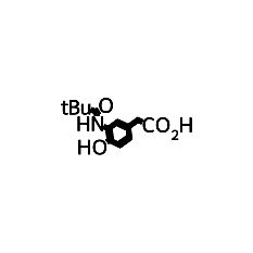 CC(C)(C)C(=O)Nc1cc(CC(=O)O)ccc1O